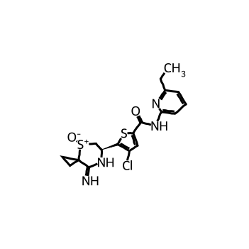 CCc1cccc(NC(=O)c2cc(Cl)c([C@@H]3C[S+]([O-])C4(CC4)C(=N)N3)s2)n1